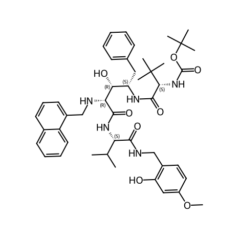 COc1ccc(CNC(=O)[C@@H](NC(=O)[C@H](NCc2cccc3ccccc23)[C@H](O)[C@H](Cc2ccccc2)NC(=O)[C@@H](NC(=O)OC(C)(C)C)C(C)(C)C)C(C)C)c(O)c1